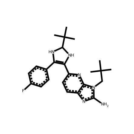 CC(C)(C)Cn1c(N)nc2ccc(C3=C(c4ccc(F)cc4)NC(C(C)(C)C)N3)nc21